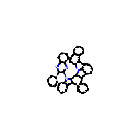 c1ccc(-c2nc3ccccc3nc2-n2c3ccccc3c3c4ccccc4c4c5cccc6c7c8ccccc8ccc7n(c65)c4c32)cc1